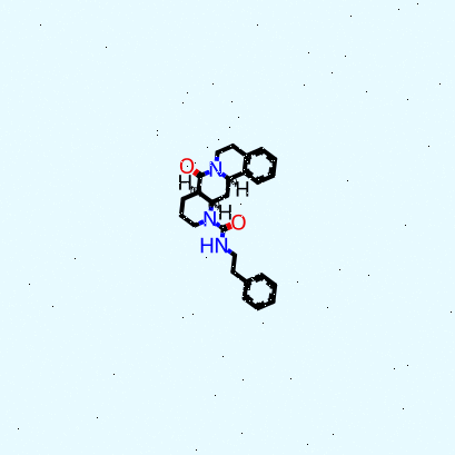 O=C1[C@@H]2CCCN(C(=O)NCCc3ccccc3)[C@@H]2C[C@@H]2c3ccccc3CCN12